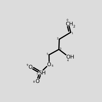 C=CCC(O)CO[SH](=O)=O